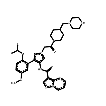 CSc1ccc(OC(F)F)c(-c2nn(CC(=O)N3CCC(CN4CCNCC4)CC3)cc2NC(=O)c2cnn3cccnc23)c1